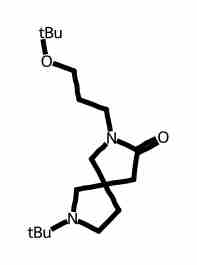 CC(C)(C)OCCCN1CC2(CCN(C(C)(C)C)C2)CC1=O